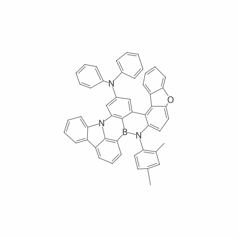 Cc1ccc(N2B3c4c(cc(N(c5ccccc5)c5ccccc5)cc4-n4c5ccccc5c5cccc3c54)-c3c2ccc2oc4ccccc4c32)c(C)c1